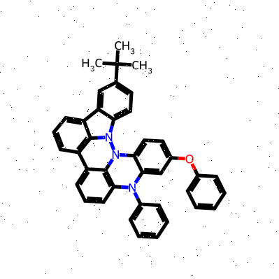 CC(C)(C)c1ccc2c(c1)c1cccc3c4cccc5c4-n(c4ccc(Oc6ccccc6)cc4n5-c4ccccc4)n2c31